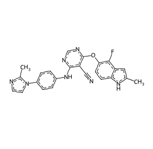 Cc1cc2c(F)c(Oc3ncnc(Nc4ccc(-n5ccnc5C)cc4)c3C#N)ccc2[nH]1